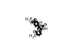 Cc1cccn(CC2(c3ccc(S(C)(=O)=O)cc3)NC(=O)NC2=O)c1=O